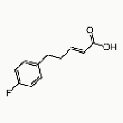 O=C(O)C=CCCc1ccc(F)cc1